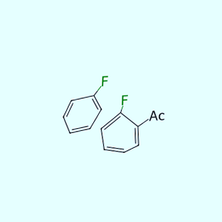 CC(=O)c1ccccc1F.Fc1ccccc1